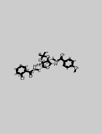 COc1ccc(C(=O)NC[C@]23CO[C@H](CNC(=O)c4ccccc4Cl)[C@H]2OC(C)(C)O3)cc1